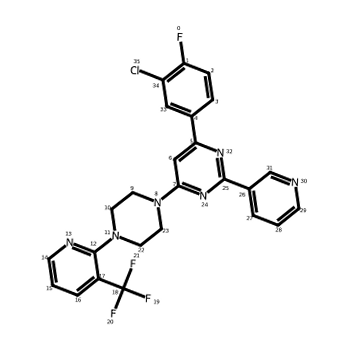 Fc1ccc(-c2cc(N3CCN(c4ncccc4C(F)(F)F)CC3)nc(-c3cccnc3)n2)cc1Cl